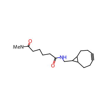 CNC(=O)CCCCC(=O)NCC1C2CCC#CCCC21